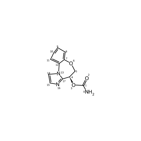 NC(=O)O[C@@H]1COc2ccccc2-n2ccnc21